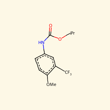 COc1ccc(NC(=O)OC(C)C)cc1C(F)(F)F